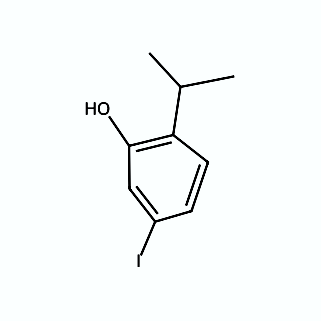 CC(C)c1ccc(I)cc1O